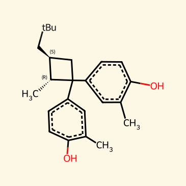 Cc1cc(C2(c3ccc(O)c(C)c3)C[C@H](CC(C)(C)C)[C@H]2C)ccc1O